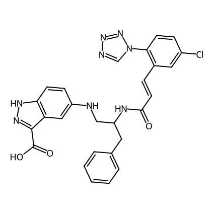 O=C(/C=C/c1cc(Cl)ccc1-n1cnnn1)NC(CNc1ccc2[nH]nc(C(=O)O)c2c1)Cc1ccccc1